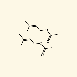 CC(=O)OCC=C(C)C.CC(=O)OCC=C(C)C